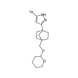 [2H]c1cc(C23CCC(COC4CCCCO4)(CC2)C3)n[nH]1